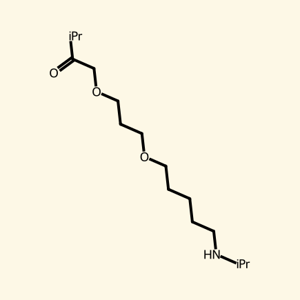 CC(C)NCCCCCOCCCOCC(=O)C(C)C